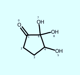 O=C1CCC(O)C1(O)O